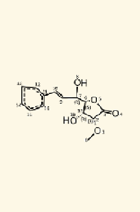 CO[C@H]1C(=O)O[C@@H]([C@H](O)C=Cc2ccccc2)[C@H]1O